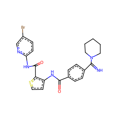 N=C(c1ccc(C(=O)Nc2ccsc2C(=O)Nc2ccc(Br)cn2)cc1)N1CCCCC1